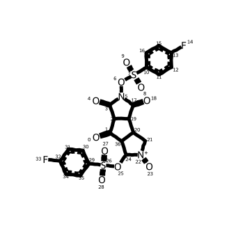 O=C1C2C(=O)N(OS(=O)(=O)c3ccc(F)cc3)C(=O)C2C2C[N+](=O)C(OS(=O)(=O)c3ccc(F)cc3)C12